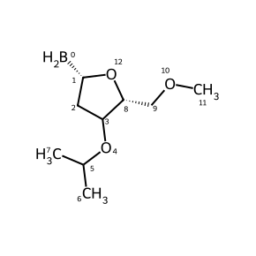 B[C@H]1CC(OC(C)C)[C@@H](COC)O1